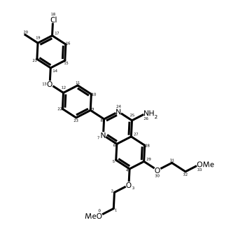 COCCOc1cc2nc(-c3ccc(Oc4ccc(Cl)c(C)c4)cc3)nc(N)c2cc1OCCOC